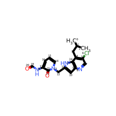 CC(C)Cc1c(Cl)cnc2cc(Cn3cccc(NC=O)c3=O)[nH]c12